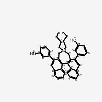 CCCC[N+]1(CCCC)Cc2c(-c3cccc(O)c3)cc3ccccc3c2-c2c(c(-c3cccc(O)c3)cc3ccccc23)C1